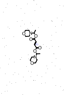 CC(OC(=O)/C=C/C(=O)OC(C)N1CCOCC1)N1CCOCC1